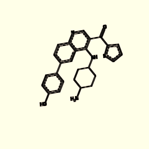 NC1CCC(Nc2c(C(=O)c3cccs3)cnc3ccc(-c4ccc(O)cc4)cc23)CC1